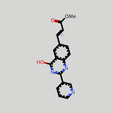 COC(=O)/C=C/c1ccc2nc(-c3cccnc3)nc(O)c2c1